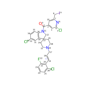 O=C(c1cc(Cl)nc(CI)c1)N1CC2(CCN(C/C=C/c3c(F)cccc3Cl)CC2)c2cc(Cl)ccc21